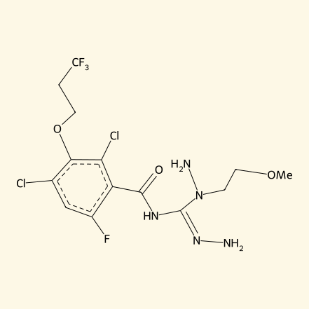 COCCN(N)/C(=N\N)NC(=O)c1c(F)cc(Cl)c(OCCC(F)(F)F)c1Cl